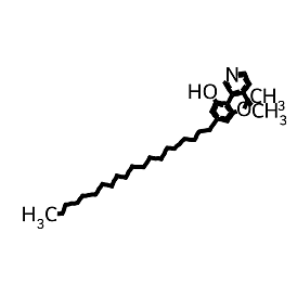 CCCCCCCCCCCCCCCCCCCCc1cc(O)c2c(c1)OC(C)(C)c1ccncc1-2